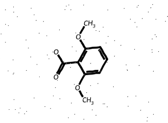 COc1cccc(OC)c1C([O])=O